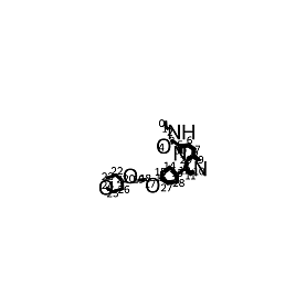 CCNC(=O)c1ccc2cncc(-c3ccc(OCCOC4CCOCC4)cc3)c2n1